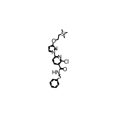 C[Si](C)(C)CCOc1ccn(-c2ccc(C(=O)NSc3ccccc3)c(Cl)n2)n1